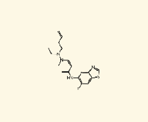 C=CCCN(CC)N(C)/C=C\C(=C)Nc1cc2ncsc2cc1F